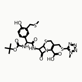 CSCc1cc(C(NC(=O)OC(C)(C)C)C(=O)NC2C(=O)N3C(C(=O)O)=C(CSc4nnnn4C)CSC23)ccc1O